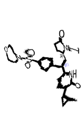 O=C1CC[C@H](/C=C(\c2ccc(S(=O)(=O)N3CCOCC3)cc2)c2ccc(C3CC3)c(=O)[nH]2)N1